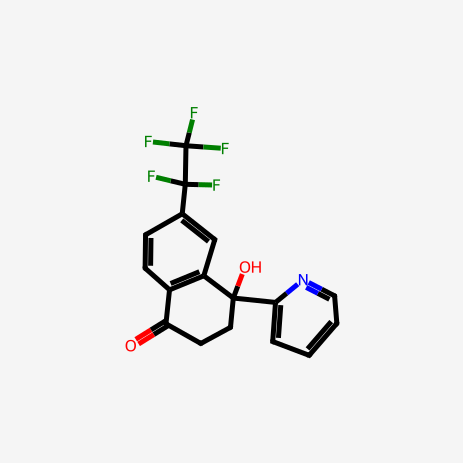 O=C1CCC(O)(c2ccccn2)c2cc(C(F)(F)C(F)(F)F)ccc21